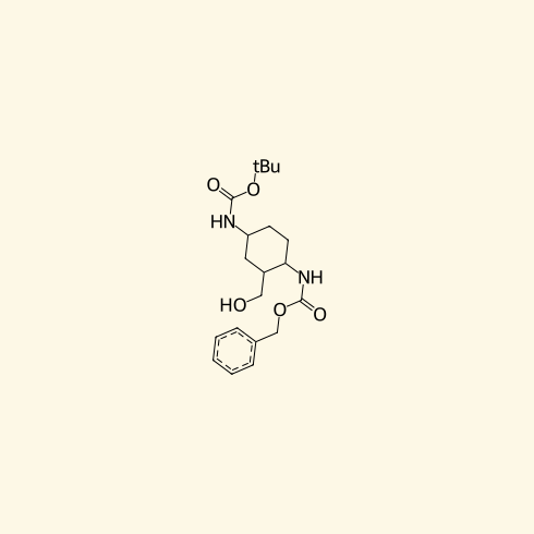 CC(C)(C)OC(=O)NC1CCC(NC(=O)OCc2ccccc2)C(CO)C1